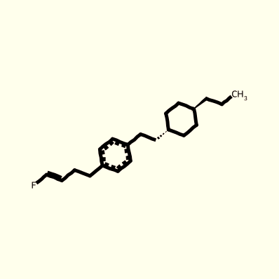 CCC[C@H]1CC[C@H](CCc2ccc(CCC=CF)cc2)CC1